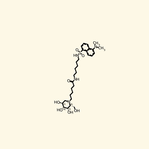 CN(C)c1cccc2c(S(=O)(=O)NCCCCCCNC(=O)CCCCCN3C[C@H](O)[C@@H](O)[C@@H](O)[C@H]3CO)cccc12